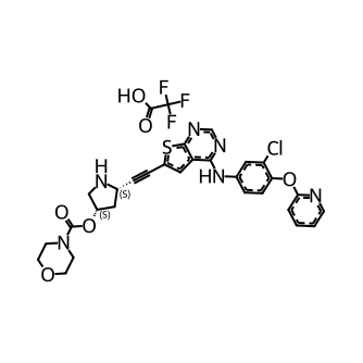 O=C(O)C(F)(F)F.O=C(O[C@@H]1CN[C@H](C#Cc2cc3c(Nc4ccc(Oc5ccccn5)c(Cl)c4)ncnc3s2)C1)N1CCOCC1